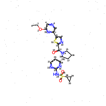 CCOc1cncc(-c2cnc(C(=O)N3CCC[C@@H]3c3ccnc(NS(=O)(=O)C4CC4)n3)s2)n1